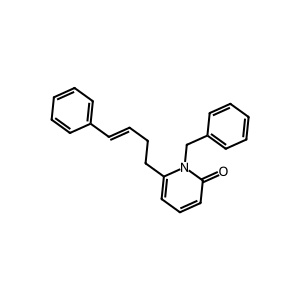 O=c1cccc(CC/C=C/c2ccccc2)n1Cc1ccccc1